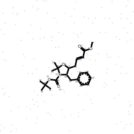 COC(=O)/C=C/CC1OC(C)(C)N(C(=O)OC(C)(C)C)C1Cc1ccccc1